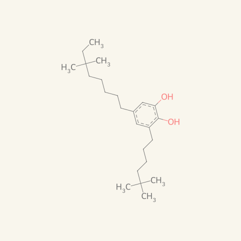 CCC(C)(C)CCCCCc1cc(O)c(O)c(CCCCC(C)(C)C)c1